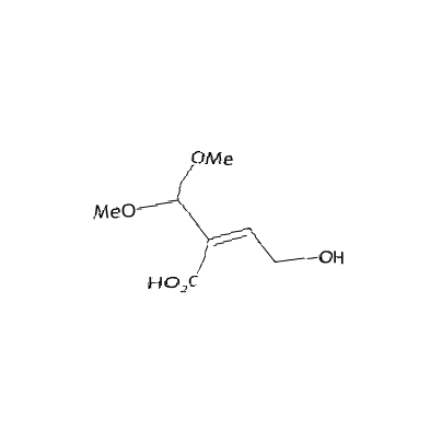 COC(OC)C(=CCO)C(=O)O